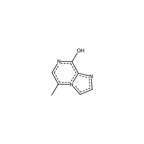 Cc1cnc(O)c2nccn12